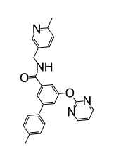 Cc1ccc(-c2cc(Oc3ncccn3)cc(C(=O)NCc3ccc(C)nc3)c2)cc1